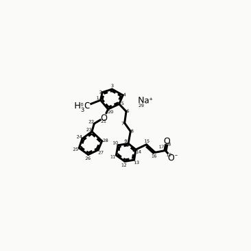 Cc1cccc(CCCc2ccccc2/C=C/C(=O)[O-])c1OCc1ccccc1.[Na+]